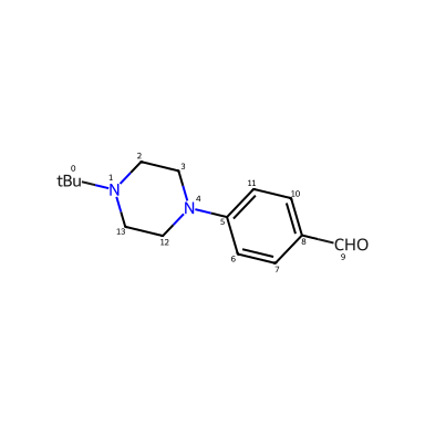 CC(C)(C)N1CCN(c2ccc(C=O)cc2)CC1